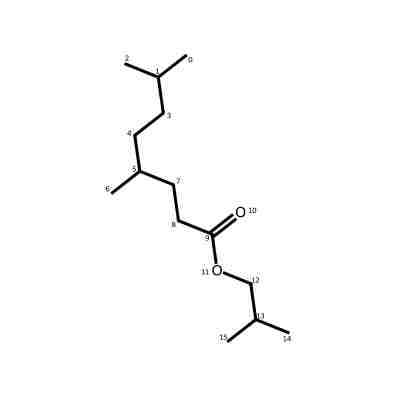 CC(C)CCC(C)CCC(=O)OCC(C)C